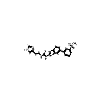 CS(=O)(=O)c1cccc(-c2ccc3nc(NC(=O)NCCc4c[nH]cn4)sc3c2)c1